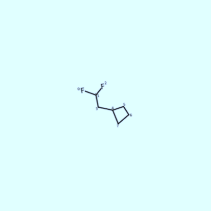 F[C](F)CC1CCC1